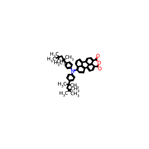 CC(C)(C)CC(C)(C)c1ccc(N(c2ccc(C(C)(C)CC(C)(C)C)cc2)c2ccc3c4ccc5c6c(ccc(c7cccc2c73)c64)C(=O)OC5=O)cc1